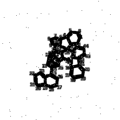 c1ccc2c(c1)-c1cccc(-c3ccc(-c4cccc5ccccc45)cc3)c1C21c2ccccc2-n2c3ccccc3c3cccc1c32